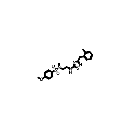 COc1ccc(S(=O)(=O)N(C)CCNc2nc(Cc3ccccc3C)ns2)cc1